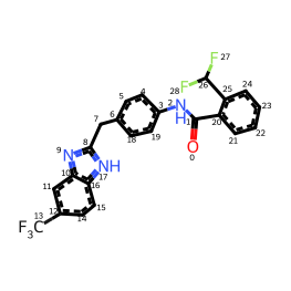 O=C(Nc1ccc(Cc2nc3cc(C(F)(F)F)ccc3[nH]2)cc1)c1ccccc1C(F)F